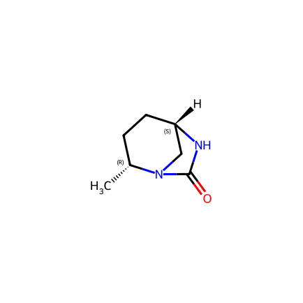 C[C@@H]1CC[C@H]2CN1C(=O)N2